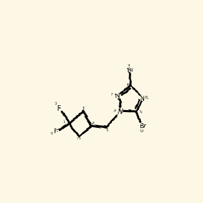 FC1(F)CC(Cn2nc(Br)nc2Br)C1